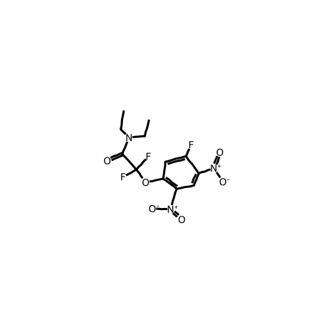 CCN(CC)C(=O)C(F)(F)Oc1cc(F)c([N+](=O)[O-])cc1[N+](=O)[O-]